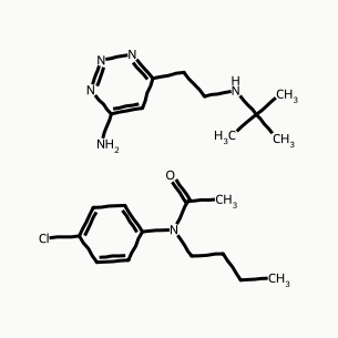 CC(C)(C)NCCc1cc(N)nnn1.CCCCN(C(C)=O)c1ccc(Cl)cc1